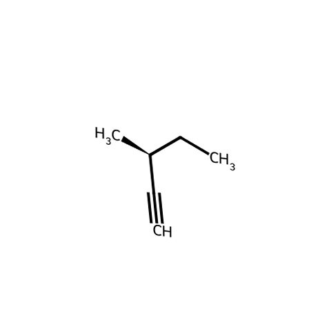 C#C[C@@H](C)CC